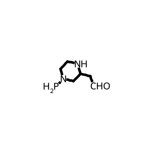 O=CCC1CN(P)CCN1